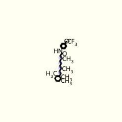 CC1=C(/C=C/C(C)=C/C=C/C(C)=C/C(=O)Nc2ccc(OC(F)(F)F)cc2)C(C)(C)CCC1